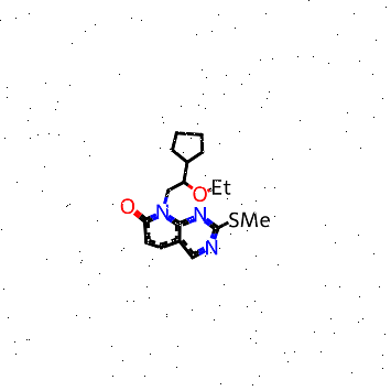 CCOC(Cn1c(=O)ccc2cnc(SC)nc21)C1CCCC1